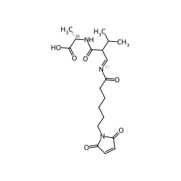 CC(C)C(/C=N/C(=O)CCCCCN1C(=O)C=CC1=O)C(=O)N[C@@H](C)C(=O)O